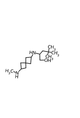 CNC1CC2(C1)CC(NC(CO)CC(C)(C)C)C2